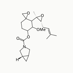 COC1C(OC(=O)N2CC3C[C@@H]3C2)CCC2(CO2)C1[C@@]1(C)O[C@@H]1CC=C(C)C